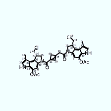 CC(=O)Oc1cc2c(c3c(C)c[nH]c13)[C@H](CCl)CN2C(=O)CC12CC(C(=O)N3C[C@@H](CCl)c4c3cc(OC(C)=O)c3[nH]cc(C)c43)(C1)C2